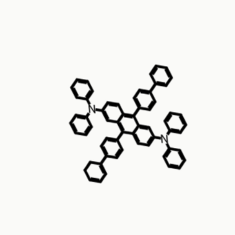 C1=CCCC(c2ccc(-c3c4ccc(N(c5ccccc5)c5ccccc5)cc4c(-c4ccc(-c5ccccc5)cc4)c4ccc(N(c5ccccc5)c5ccccc5)cc34)cc2)=C1